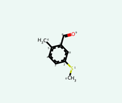 CSc1ccc(C)c(C=O)c1